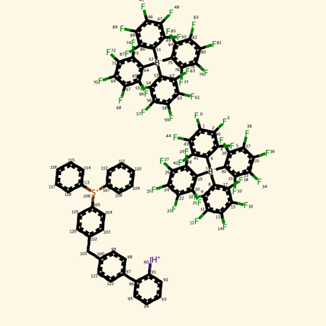 Fc1c(F)c(F)c([B-](c2c(F)c(F)c(F)c(F)c2F)(c2c(F)c(F)c(F)c(F)c2F)c2c(F)c(F)c(F)c(F)c2F)c(F)c1F.Fc1c(F)c(F)c([B-](c2c(F)c(F)c(F)c(F)c2F)(c2c(F)c(F)c(F)c(F)c2F)c2c(F)c(F)c(F)c(F)c2F)c(F)c1F.[IH+]c1ccccc1-c1ccc(Cc2ccc([S+](c3ccccc3)c3ccccc3)cc2)cc1